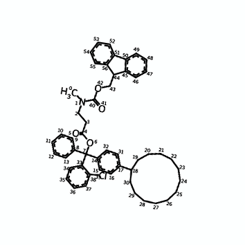 CN(CCC(=O)OC(c1ccccc1)(c1ccc(C2CCCCCCCCCCCC2)cc1)c1ccccc1Cl)C(=O)OCC1c2ccccc2-c2ccccc21